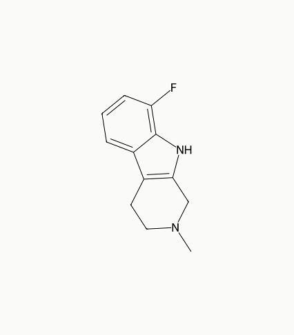 CN1CCc2c([nH]c3c(F)cccc23)C1